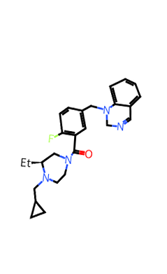 CC[C@H]1CN(C(=O)c2cc(CN3CN=Cc4ccccc43)ccc2F)CCN1CC1CC1